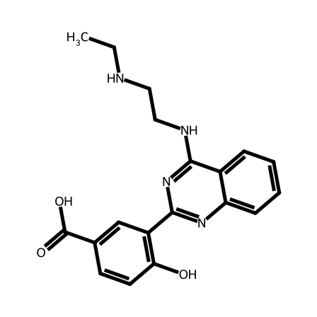 CCNCCNc1nc(-c2cc(C(=O)O)ccc2O)nc2ccccc12